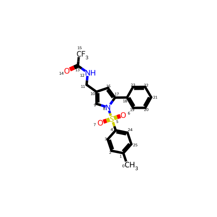 Cc1ccc(S(=O)(=O)n2cc(CNC(=O)C(F)(F)F)cc2-c2ccccc2)cc1